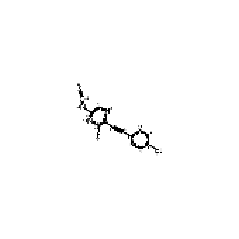 CCc1ccc(C#Cc2ncc(N=C=S)nc2F)cc1